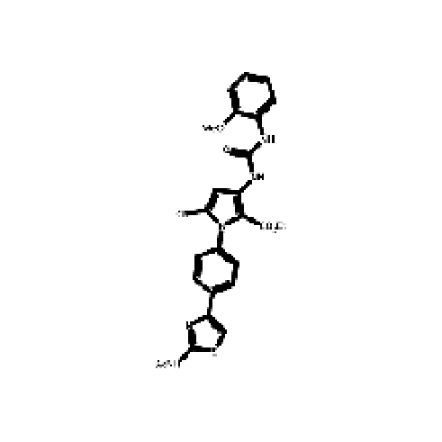 CCOC(=O)c1c(NC(=O)Nc2ccccc2OC)cc(Cl)n1-c1ccc(-c2csc(NC(C)=O)n2)cc1